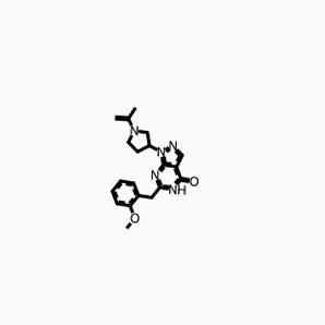 C=C(C)N1CCC(n2ncc3c(=O)[nH]c(Cc4ccccc4OC)nc32)C1